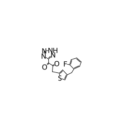 O=C(Cc1cc(Cc2ccccc2F)cs1)C(=O)c1nn[nH]n1